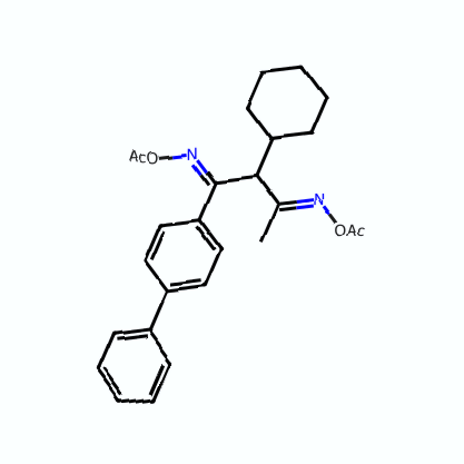 CC(=O)O/N=C(\c1ccc(-c2ccccc2)cc1)C(/C(C)=N/OC(C)=O)C1CCCCC1